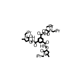 CC(C)CNC(=O)[C@@H](CC(C)C)ONC(=O)c1cc(C(=O)NO[C@@H]2CC(C)N(CC(C)C)C2=O)cc(C(=O)NO[C@@H]2CC(C)N(CC(C)C)C2=O)c1